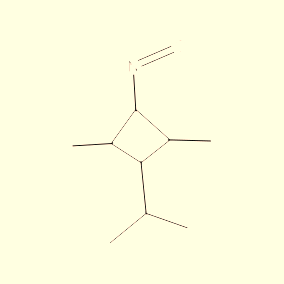 CC(C)C1C(C)C(N=O)C1C